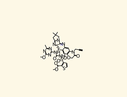 C#CCN1C(=O)COc2cc(F)c(/N=c3\snc4n3CC(C)(C)C4)cc21.COC(=O)c1sccc1S(=O)(=O)NC(=O)Nc1nc(C)nc(OC)n1